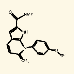 C=C1C=Cc2cc(C(=O)NC)[nH]c2N1c1ccc(OC(C)C)cc1